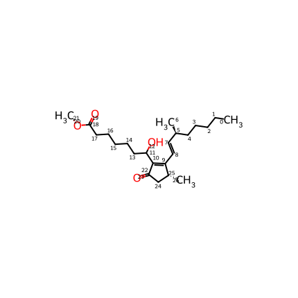 CCCCC[C@H](C)/C=C/C1=C(C(O)CCCCCC(=O)OC)C(=O)C[C@H]1C